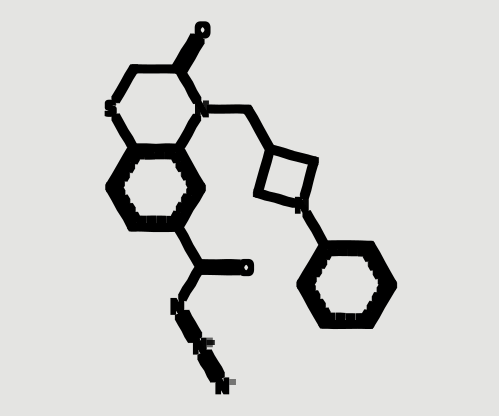 [N-]=[N+]=NC(=O)c1ccc2c(c1)N(CC1CN(c3ccccc3)C1)C(=O)CS2